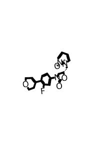 O=C1O[C@@H](Cn2cccc[n+]2=O)CN1c1ccc(C2=CCOCC2)c(F)c1